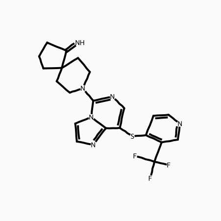 N=C1CCCC12CCN(c1ncc(Sc3ccncc3C(F)(F)F)c3nccn13)CC2